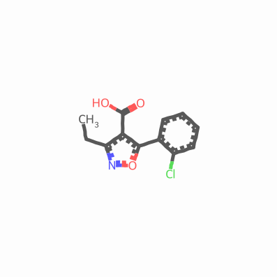 CCc1noc(-c2ccccc2Cl)c1C(=O)O